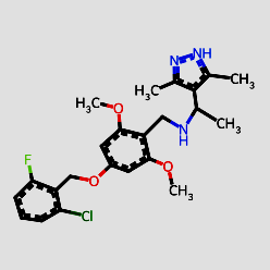 COc1cc(OCc2c(F)cccc2Cl)cc(OC)c1CNC(C)c1c(C)n[nH]c1C